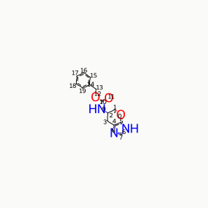 O=[C]C(Cc1c[nH]cn1)NC(=O)OCc1ccccc1